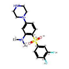 CCN(C(C)=O)c1cc(N2CCNCC2)ccc1S(=O)(=O)c1ccc(F)c(F)c1